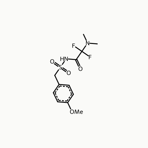 COc1ccc(CS(=O)(=O)NC(=O)C(F)(F)N(C)C)cc1